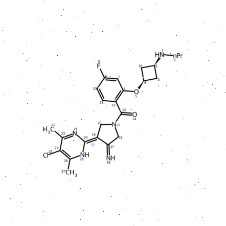 CCCN[C@H]1C[C@@H](Oc2cc(F)ccc2C(=O)N2CC(=N)/C(=C3/N=C(C)C(Cl)=C(C)N3)C2)C1